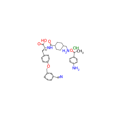 CC(=O)c1ccc(N)cc1.Cl.N#Cc1cccc(COc2ccc(C[C@H](NC(=O)C3CCC(CN)CC3)C(=O)O)cc2)c1